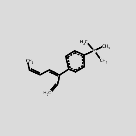 C=C/C(=C\C=C/C)c1ccc(S(C)(C)C)cc1